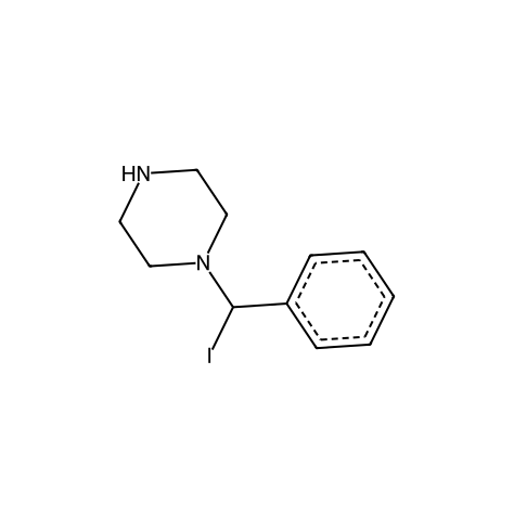 IC(c1ccccc1)N1CCNCC1